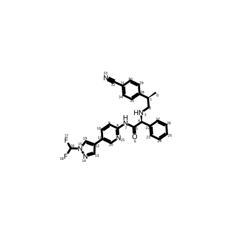 C[C@@H](CN[C@H](C(=O)Nc1ccc(-c2cnn(C(F)F)c2)cn1)c1ccccc1)c1ccc(C#N)cc1